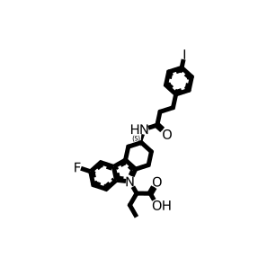 CCC(C(=O)O)n1c2c(c3cc(F)ccc31)C[C@@H](NC(=O)CCc1ccc(I)cc1)CC2